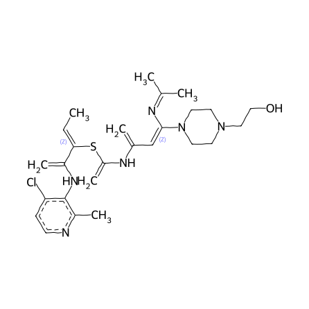 C=C(/C=C(\N=C(C)C)N1CCN(CCO)CC1)NC(=C)S/C(=C\C)C(=C)Nc1c(Cl)ccnc1C